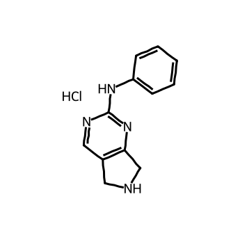 Cl.c1ccc(Nc2ncc3c(n2)CNC3)cc1